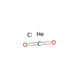 O=C=O.[C].[He]